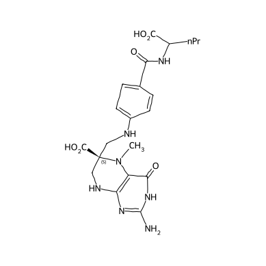 CCCC(NC(=O)c1ccc(NC[C@@]2(C(=O)O)CNc3nc(N)[nH]c(=O)c3N2C)cc1)C(=O)O